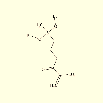 C=C(C)C(=O)CCC[Si](C)(OCC)OCC